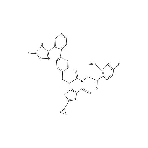 COc1cc(F)ccc1C(=O)Cn1c(=O)c2cc(C3CC3)sc2n(Cc2ccc(-c3ccccc3-c3noc(=O)[nH]3)cc2)c1=O